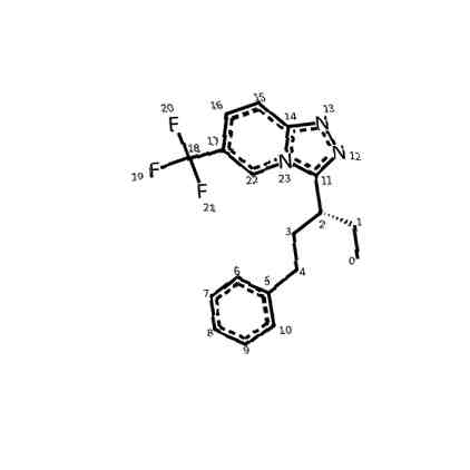 CC[C@H](CCc1ccccc1)c1nnc2ccc(C(F)(F)F)cn12